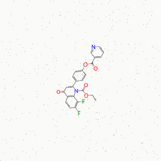 CCOC(=O)n1c(-c2ccc(OC(=O)c3cccnc3)cc2)cc(=O)c2ccc(F)c(F)c21